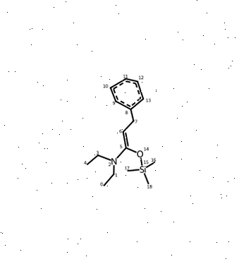 CCN(CC)C(=CCc1ccccc1)O[Si](C)(C)C